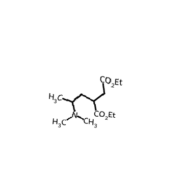 CCOC(=O)CC(CC(C)N(C)C)C(=O)OCC